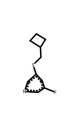 Fc1cncc(SCC2CCC2)c1